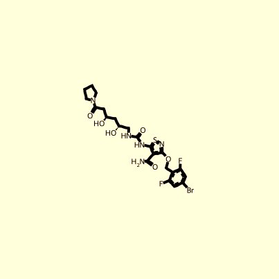 NC(=O)c1c(OCc2c(F)cc(Br)cc2F)nsc1NC(=O)NC[C@H](O)C[C@@H](O)CC(=O)N1CCCC1